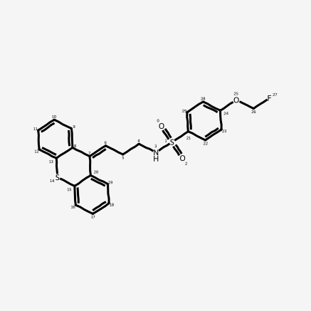 O=S(=O)(NCCC=C1c2ccccc2Sc2ccccc21)c1ccc(OCF)cc1